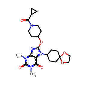 Cn1c(=O)c2c(nc(OC3CCN(C(=O)C4CC4)CC3)n2C2CCC3(CC2)OCCO3)n(C)c1=O